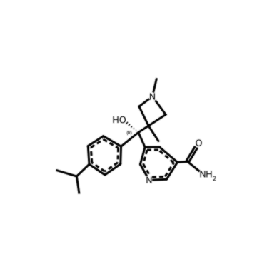 CC(C)c1ccc([C@](O)(c2cncc(C(N)=O)c2)C2(C)CN(C)C2)cc1